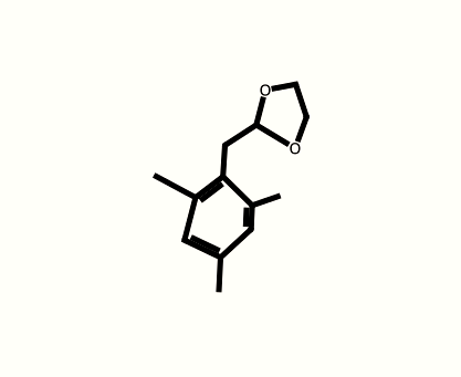 Cc1cc(C)c(CC2OCCO2)c(C)c1